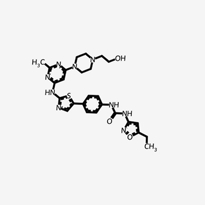 CCc1cc(NC(=O)Nc2ccc(-c3cnc(Nc4cc(N5CCN(CCO)CC5)nc(C)n4)s3)cc2)no1